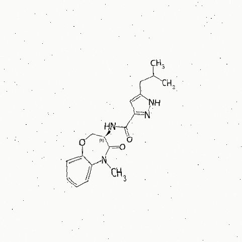 CC(C)Cc1cc(C(=O)N[C@@H]2COc3ccccc3N(C)C2=O)n[nH]1